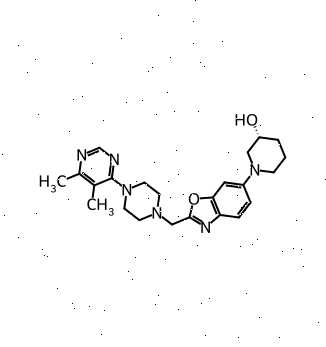 Cc1ncnc(N2CCN(Cc3nc4ccc(N5CCC[C@@H](O)C5)cc4o3)CC2)c1C